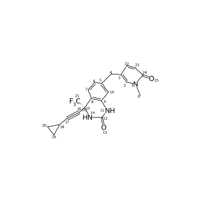 Cn1cc(Cc2ccc3c(c2)NC(=O)N[C@]3(C#CC2CC2)C(F)(F)F)ccc1=O